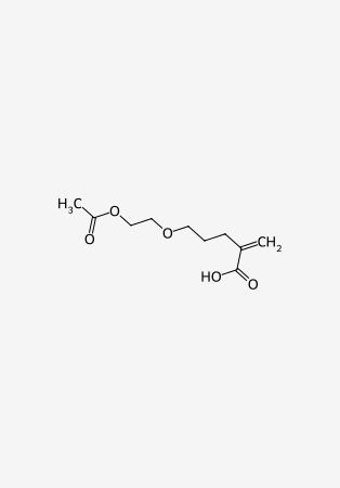 C=C(CCCOCCOC(C)=O)C(=O)O